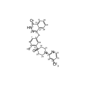 O=c1[nH]nc(Cc2ccc(F)c(P3(=O)CCN(c4cc(C(F)(F)F)ccn4)CC3)c2)c2ccccc12